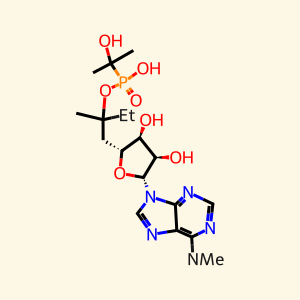 CCC(C)(C[C@H]1O[C@@H](n2cnc3c(NC)ncnc32)[C@H](O)[C@@H]1O)OP(=O)(O)C(C)(C)O